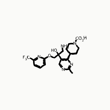 Cc1ncc(C(O)(CN)COc2cccc(C(F)(F)F)n2)c(C2CCN(C(=O)O)CC2)n1